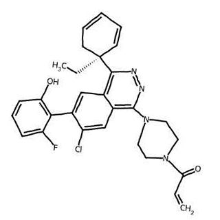 C=CC(=O)N1CCN(c2nnc([C@]3(CC)C=CC=CC3)c3cc(-c4c(O)cccc4F)c(Cl)cc23)CC1